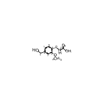 COc1cc(CO)ccc1CNC(=O)O